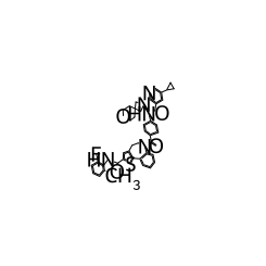 Cc1cccc(F)c1NC(=O)c1cc2c(s1)-c1ccccc1N(C(=O)c1ccc(NC(=O)c3cc(C4CC4)cnc3N3CC4(CCOCC4)C3)cc1)CC2